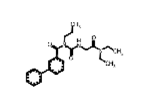 CCCN(C(=O)NCC(=O)N(CC)CC)C(=O)c1cccc(-c2ccccc2)c1